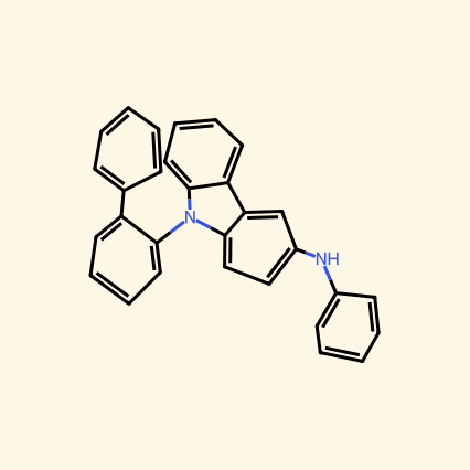 c1ccc(Nc2ccc3c(c2)c2ccccc2n3-c2ccccc2-c2ccccc2)cc1